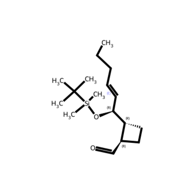 CCC/C=C/[C@H](O[Si](C)(C)C(C)(C)C)[C@@H]1CC[C@H]1C=O